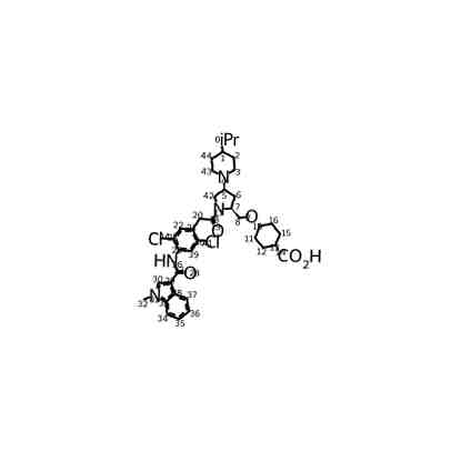 CC(C)C1CCN([C@H]2C[C@@H](CO[C@H]3CC[C@H](C(=O)O)CC3)N(C(=O)Cc3cc(Cl)c(NC(=O)c4cn(C)c5ccccc45)cc3Cl)C2)CC1